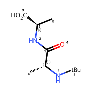 C[C@@H](NC(=O)[C@@H](C)NC(C)(C)C)C(=O)O